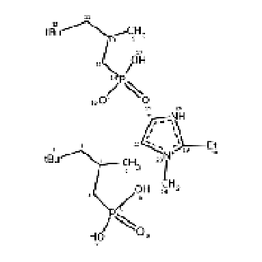 CC(CC(C)(C)C)CP(=O)(O)O.CC(CC(C)(C)C)CP(=O)([O-])O.CCc1[nH]cc[n+]1C